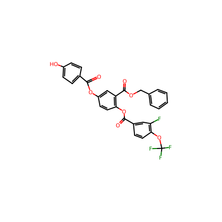 O=C(Oc1ccc(OC(=O)c2ccc(OC(F)(F)F)c(F)c2)c(C(=O)OCc2ccccc2)c1)c1ccc(O)cc1